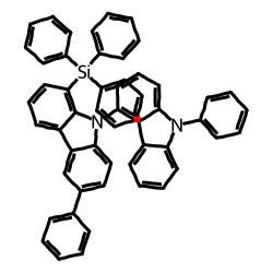 c1ccc(-c2ccc3c(c2)c2cccc([Si](c4ccccc4)(c4ccccc4)c4ccccc4)c2n3-c2cccc3c2c2ccccc2n3-c2ccccc2)cc1